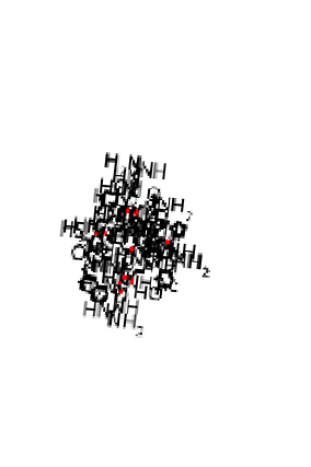 CC(=O)N[C@@H](CCCNC(=N)N)C(=O)N[C@@H](CCCNC(=N)N)C(=O)N[C@@H](Cc1ccc2ccccc2c1)C(=O)N[C@@H](CS)C(=O)N[C@@H](Cc1ccc(O)cc1)C(=O)N[C@@H](CCCNC(N)=O)C(=O)N[C@@H](CCCCN)C(=O)N[C@H](CCCCN)C(=O)N1CCC[C@H]1C(=O)N[C@@H](Cc1ccc(O)cc1)C(=O)N[C@@H](CCCNC(N)=O)C(=O)N[C@@H](CCCNC(N)=O)C(=O)N[C@@H](CS)C(=O)N[C@@H](CCCNC(=N)N)C(N)=O